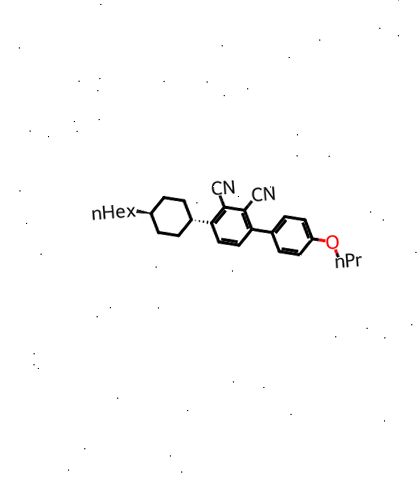 CCCCCC[C@H]1CC[C@H](c2ccc(-c3ccc(OCCC)cc3)c(C#N)c2C#N)CC1